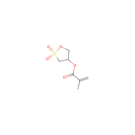 C=C(C)C(=O)OC1COS(=O)(=O)C1